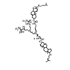 CC(C)CCCC(C)C1CCC2C3CC=C4CC(OC(=O)NCCCN(CCCNC(=O)OC5CCC6(C)C(=CCC7C6CCC6(C)C(C(C)CCCC(C)C)CCC76)C5)CCCN(CCCNC(=N)N)CCCNC(=N)N)CCC4(C)C3CCC12C